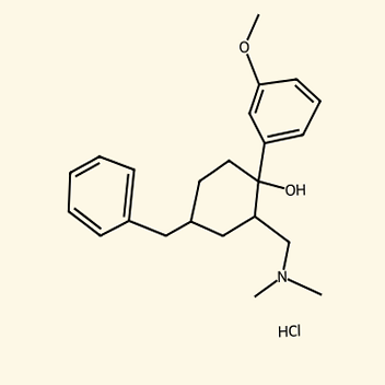 COc1cccc(C2(O)CCC(Cc3ccccc3)CC2CN(C)C)c1.Cl